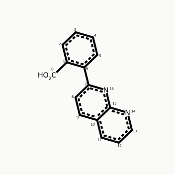 O=C(O)c1ccccc1-c1ccc2cccnc2n1